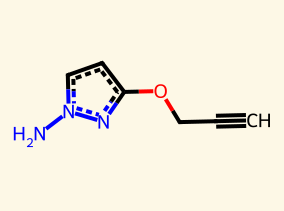 C#CCOc1ccn(N)n1